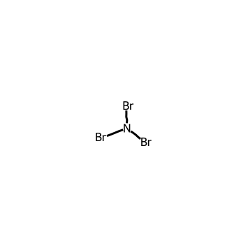 BrN(Br)Br